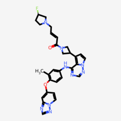 Cc1cc(Nc2ncnn3ccc(C4CN(C(=O)/C=C/CN5CC[C@@H](F)C5)C4)c23)ccc1Oc1ccn2ncnc2c1